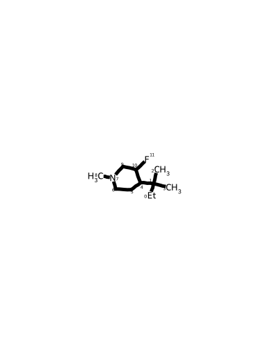 CCC(C)(C)C1CCN(C)CC1F